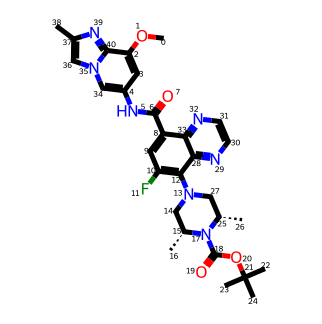 COc1cc(NC(=O)c2cc(F)c(N3C[C@@H](C)N(C(=O)OC(C)(C)C)[C@@H](C)C3)c3nccnc23)cn2cc(C)nc12